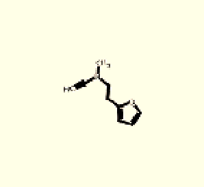 C#CN(C)CCc1ccco1